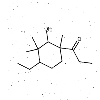 CCC(=O)C1(C)CCC(CC)C(C)(C)C1O